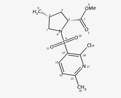 COC(=O)[C@H]1C[C@@H](C)CN1S(=O)(=O)c1ccc(C)nc1Cl